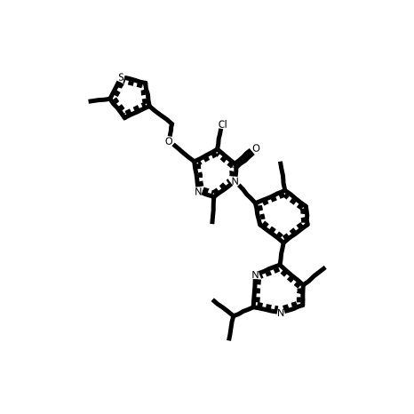 Cc1cc(COc2nc(C)n(-c3cc(-c4nc(C(C)C)ncc4C)ccc3C)c(=O)c2Cl)cs1